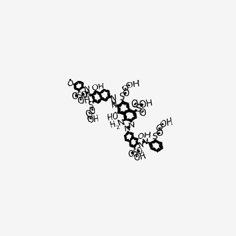 COc1ccc(N=Nc2c(SOOO)cc3cc(N=Nc4c(SOOO)cc5c(S(=O)(=O)O)cc(N=Nc6ccc7cc(S(=O)(=O)O)c(N=Nc8ccccc8SOOO)c(O)c7c6)c(N)c5c4O)ccc3c2O)c(S(=O)(=O)O)c1